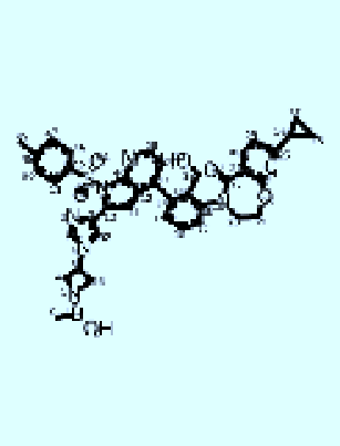 CB(O)N1CC(n2cnc(-c3cc4c(-c5cccc(N6CCOc7cc(C8CC8)ccc7C6=O)c5CO)ccnc4n3S(=O)(=O)c3ccc(C)cc3)c2)C1